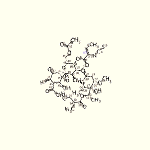 C/C=C(\N=C=S)C(=O)O[C@H]1[C@@H](O[C@H]2C[C@H](OC)[C@@](O)([C@H](C)OC(=O)[C@@H](C)CC)[C@H](C)O2)[C@@H](O)[C@H]([C@@]2(O)CC(=O)C(=N)C(C(=O)O)=C2O)O[C@@H]1COC(C)=O